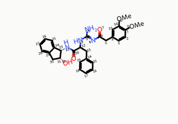 COc1ccc(CC(=O)N=C(N)NC(Cc2ccccc2)C(=O)N[C@H]2c3ccccc3C[C@H]2O)cc1OC